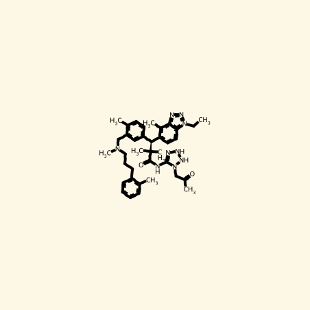 CCn1nnc2c(C)c([C@H](c3ccc(C)c(CN(C)CCCc4ccccc4C)c3)C(C)(C)C(=O)NC3=NNNN3CC(C)=O)ccc21